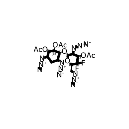 CC(=O)O[C@H]1[C@H](O[C@H]2O[C@H](CN=[N+]=[N-])C(F)(F)[C@H](OC(C)=O)C2N=[N+]=[N-])C(N=[N+]=[N-])CC(N=[N+]=[N-])[C@@H]1OC(C)=O